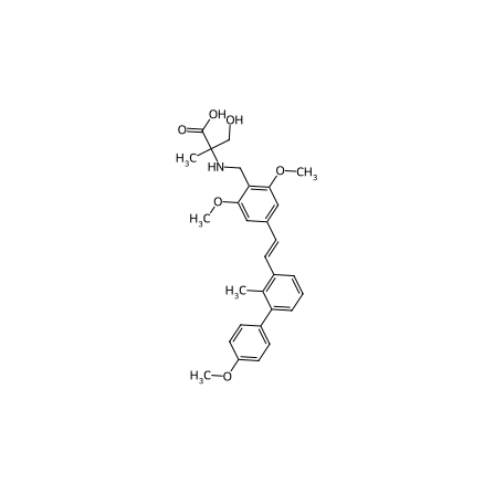 COc1ccc(-c2cccc(C=Cc3cc(OC)c(CNC(C)(CO)C(=O)O)c(OC)c3)c2C)cc1